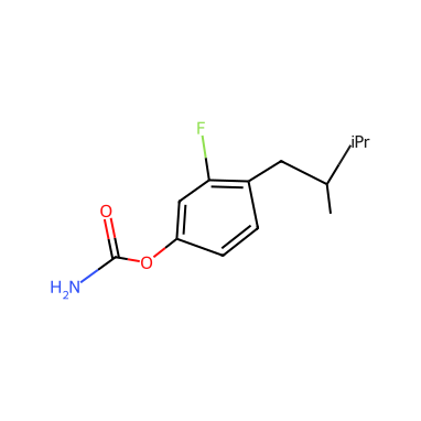 CC(C)C(C)Cc1ccc(OC(N)=O)cc1F